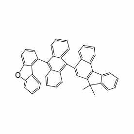 CC1(C)c2ccccc2-c2c1cc(-c1c3ccccc3c(-c3cccc4oc5ccccc5c34)c3ccccc13)c1ccccc21